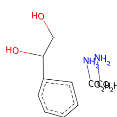 NC(=O)O.NC(=O)O.OCC(O)c1ccccc1